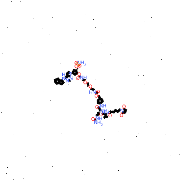 CC(C)[C@@H](NC(=O)CCCCCN1C(=O)C=CC1=O)C(=O)N[C@H](CCCNC(N)=O)C(=O)Nc1ccc(COC(=O)NCCOCCOCCNC(=O)O[C@H]2C[C@H](n3ccc4c(N[C@H]5CCc6ccccc65)ncnc43)C[C@H]2COS(N)(=O)=O)cc1